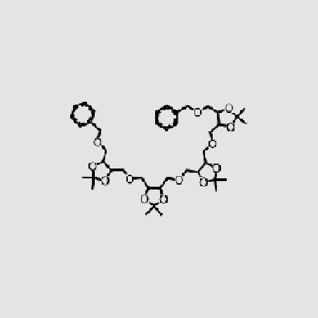 CC1(C)OC(COCc2ccccc2)C(COCC2OC(C)(C)OC2COCC2OC(C)(C)OC2COCC2OC(C)(C)OC2COCc2ccccc2)O1